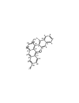 Cc1c2c(cc3ccccc13)Oc1c3ccc(F)cc3cc3nc[n+](C)c-2c13